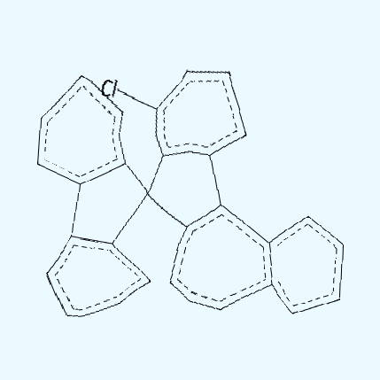 Clc1cccc2c1C1(c3ccccc3-c3ccccc31)c1ccc3ccccc3c1-2